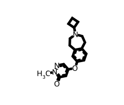 Cn1ncc(Oc2ccc3c(c2)CCN(C2CCC2)CC3)cc1=O